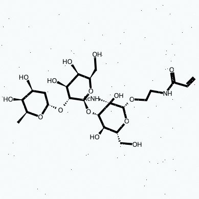 C=CC(=O)NCCO[C@@H]1O[C@H](CO)[C@@H](O)[C@H](O[C@@H]2O[C@H](CO)[C@H](O)[C@H](O)[C@H]2O[C@H]2C[C@H](O)[C@H](O)[C@H](C)O2)[C@]1(O)NC(C)=O